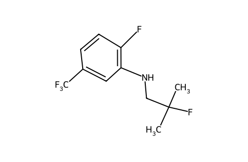 CC(C)(F)CNc1cc(C(F)(F)F)ccc1F